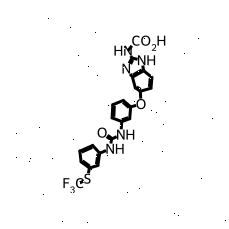 O=C(O)Nc1nc2cc(Oc3cccc(NC(=O)Nc4cccc(SC(F)(F)F)c4)c3)ccc2[nH]1